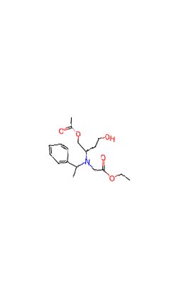 CCOC(=O)CN(C(CCO)COC(C)=O)C(C)c1ccccc1